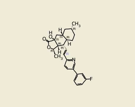 C[C@@H]1CC[C@@H]2[C@@H](C1)C[C@@]1(O)C(=O)O[C@H](C)[C@H]1[C@H]2/C=C/c1ccc(-c2cccc(F)c2)cn1